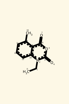 CCn1c(=O)oc(=O)c2c(C)cccc21